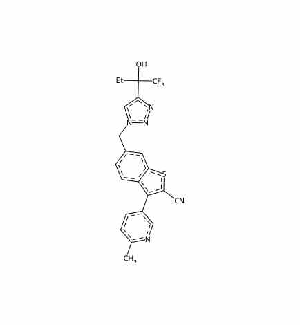 CCC(O)(c1cn(Cc2ccc3c(-c4ccc(C)nc4)c(C#N)sc3c2)nn1)C(F)(F)F